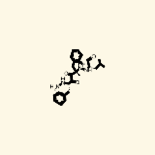 CC(C)C[C@@H](C=O)NN[C@@](C)(Cc1ccccc1F)C(=O)C(=O)[C@H](Cc1ccccc1)NN